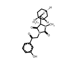 CN1C(=O)N(CC(=O)c2cccc(O)c2)C(=O)[C@@]1(C)[C@H]1C[C@H]2CC[C@H]1CC2